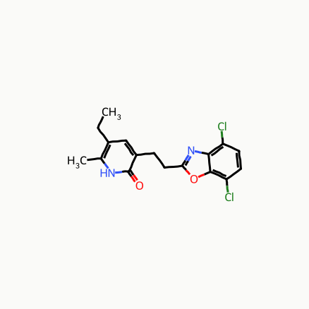 CCc1cc(CCc2nc3c(Cl)ccc(Cl)c3o2)c(=O)[nH]c1C